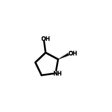 OC1CCN[C@H]1O